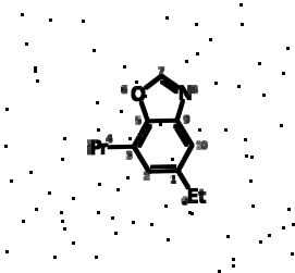 CCc1cc(C(C)C)c2ocnc2c1